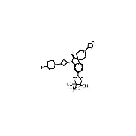 CC1(C)OB(c2ccc3c(c2)N(C2CC(N4CCC(F)CC4)C2)C(=O)C32CCN(C3COC3)CC2)OC1(C)C